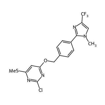 CSc1cc(OCc2ccc(-c3nc(C(F)(F)F)cn3C)cc2)nc(Cl)n1